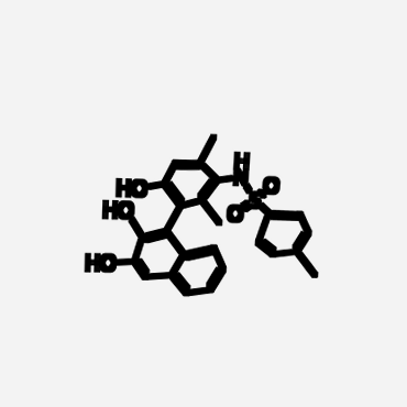 Cc1ccc(S(=O)(=O)Nc2c(C)cc(O)c(-c3c(O)c(O)cc4ccccc34)c2C)cc1